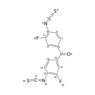 O=C(c1ccc(N=C=S)c(F)c1)c1ccc(N=C=S)c(F)c1